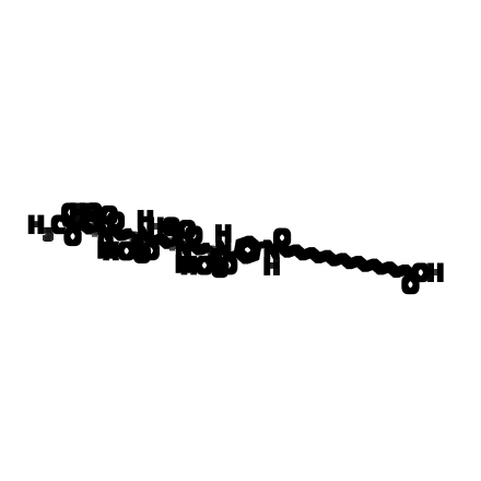 CC(C)C(=O)CC[C@H](NC(=O)CC[C@H](NC(=O)CC[C@H](NC(=O)CC[C@H](NC(=O)[C@H]1CC[C@H](CNC(=O)CCCCCCCCCCCCCCCCC(=O)O)CC1)C(=O)O)C(=O)O)C(=O)O)C(=O)O